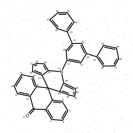 O=C1c2ccccc2C2(c3ccccc31)c1ccccc1N(c1cc(-c3ccccc3)cc(-c3ccccc3)c1)c1ccccc12